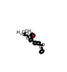 CC1(C)OCC(COc2ccc(-c3ccc4cc(C(=O)OCc5ccccc5)ccc4c3)cc2C23CC4CC(CC(C4)C2)C3)O1